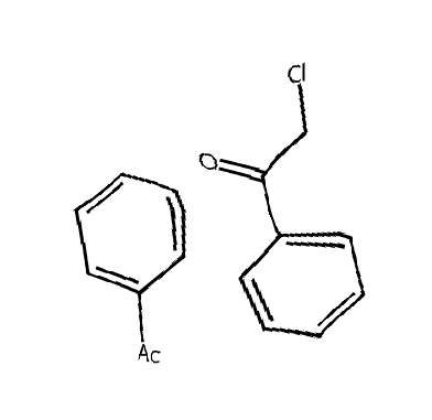 CC(=O)c1ccccc1.O=C(CCl)c1ccccc1